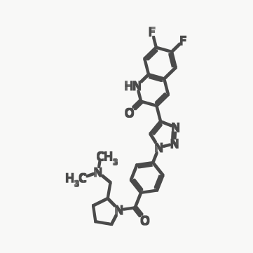 CN(C)CC1CCCN1C(=O)c1ccc(-n2cc(-c3cc4cc(F)c(F)cc4[nH]c3=O)nn2)cc1